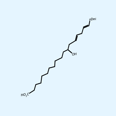 CCCCCCCCCCC=CCC=CCC(O)CCCCCCCCCCC(=O)O